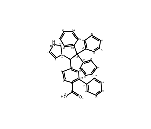 O=C(O)c1ccc(C(N2C=CNC2)C(c2ccccc2)(c2ccccc2)c2ccccc2)cc1-c1ccccc1